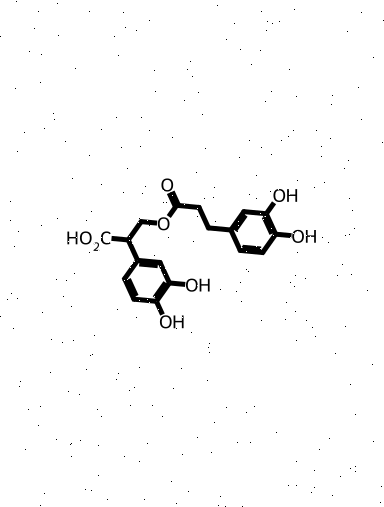 O=C(CCc1ccc(O)c(O)c1)OCC(C(=O)O)c1ccc(O)c(O)c1